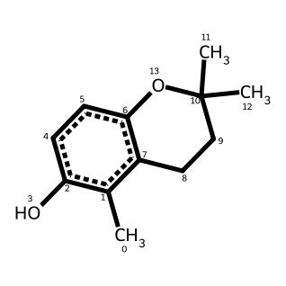 Cc1c(O)ccc2c1CCC(C)(C)O2